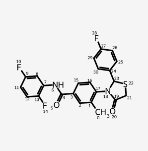 Cc1cc(C(=O)Nc2cc(F)ccc2F)ccc1N1C(=O)CSC1c1ccc(F)cc1